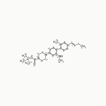 CC/C=C/c1ccc(-c2ccc(N3CCN(C(=O)OC(C)(C)C)CC3)cc2NC)c(C)c1